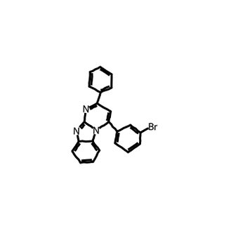 Brc1cccc(-c2cc(-c3ccccc3)nc3nc4ccccc4n23)c1